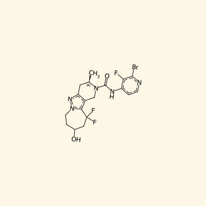 C[C@@H]1Cc2nn3c(c2CN1C(=O)Nc1ccnc(Br)c1F)C(F)(F)CC(O)CC3